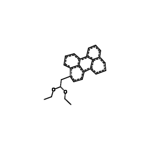 CCOC(Cc1ccc2c3cccc4cccc(c5cccc1c52)c43)OCC